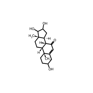 C[C@]12CCC(O)CC1=CC(=O)[C@@H]1[C@H]2CC[C@]2(C)C(O)C(O)C[C@@H]12